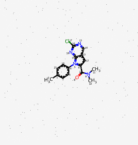 Cc1ccc(-n2c(C(=O)N(C)C)cc3cnc(Cl)nc32)cc1